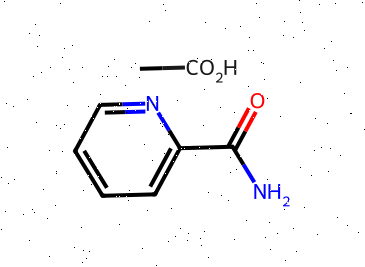 CC(=O)O.NC(=O)c1ccccn1